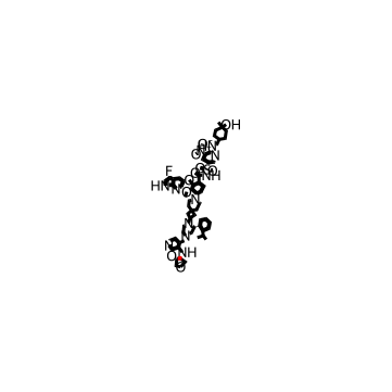 COc1nc2[nH]cc(F)c2cc1Oc1cc(N2CCC3(CC2)CC(N2CCN(Cc4ccnc5c4NC4COCC4O5)C[C@H]2c2ccccc2C(C)C)C3)ccc1C(=O)NS(=O)(=O)c1cnc(NCC2CCC(C)(O)CC2)c([N+](=O)[O-])c1